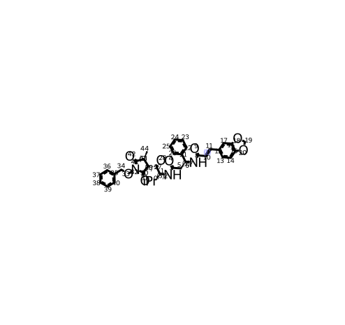 CC(C)[C@H](NC(=O)C[C@H](NC(=O)/C=C/c1ccc2c(c1)OCO2)c1ccccc1)C(=O)[C@@H]1C(=O)N(OCc2ccccc2)C(=O)[C@H]1C